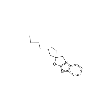 CCCCCCC1(CC)Cn2c(nc3ccccc32)O1